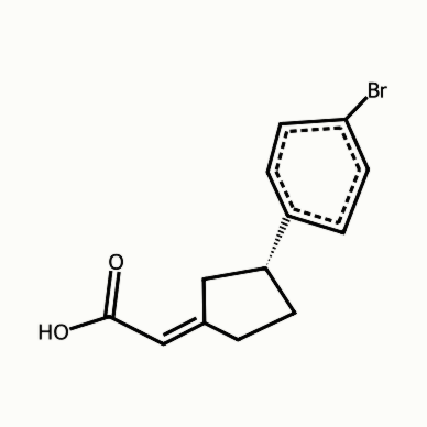 O=C(O)C=C1CC[C@@H](c2ccc(Br)cc2)C1